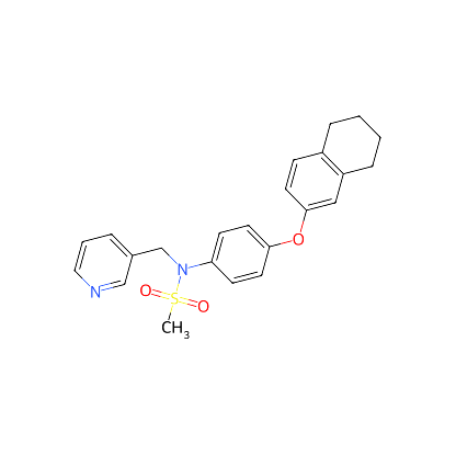 CS(=O)(=O)N(Cc1cccnc1)c1ccc(Oc2ccc3c(c2)CCCC3)cc1